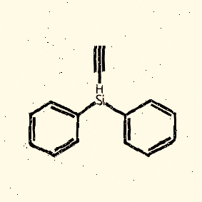 C#C[SiH](c1ccccc1)c1ccccc1